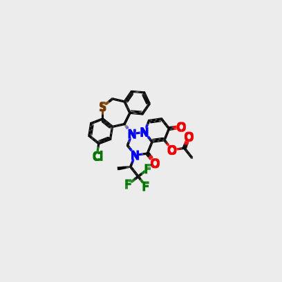 CC(=O)Oc1c2n(ccc1=O)N([C@H]1c3ccccc3CSc3ccc(Cl)cc31)CN([C@H](C)C(F)(F)F)C2=O